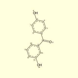 O=C(c1ccc(O)cc1)c1cccc(O)c1